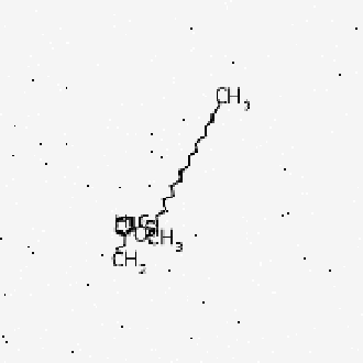 C=CCc1ccccc1O[Si](C)(C)CCCCCCCCCCCCCCCCCC